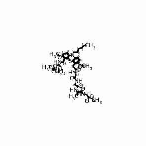 CCCCCCN1c2ccc(OC)c(CNC(=O)OC(C)(C)C)c2Sc2c1ccc(OC)c2CC(=O)NCC(=O)NCC(=O)N[C@@H](C)C(=O)NCC(=O)OC